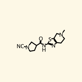 CN1CCc2nc(NC(=O)C3CCN(C#N)C3)sc2C1